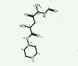 C[C@@H](NC=O)C(=O)CC(O)C(=O)ON1CCOCC1